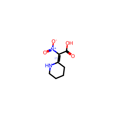 O=C(O)/C(=C1\CCCCN1)[N+](=O)[O-]